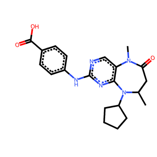 CC1CC(=O)N(C)c2cnc(Nc3ccc(C(=O)O)cc3)nc2N1C1CCCC1